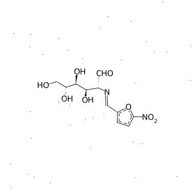 O=C[C@H](N=Cc1ccc([N+](=O)[O-])o1)[C@@H](O)[C@H](O)[C@H](O)CO